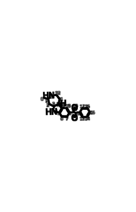 CC1CC2Nc3ccc(S(=O)(=O)c4ccccc4)cc3[C@H]2CCN1